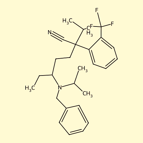 CCC(CCC(C#N)(c1ccccc1C(F)(F)F)C(C)C)N(Cc1ccccc1)C(C)C